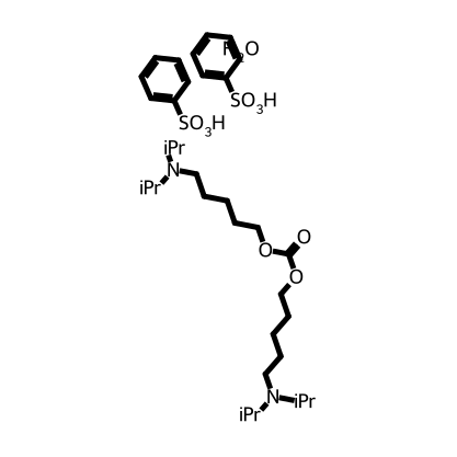 CC(C)N(CCCCCOC(=O)OCCCCCN(C(C)C)C(C)C)C(C)C.O.O=S(=O)(O)c1ccccc1.O=S(=O)(O)c1ccccc1